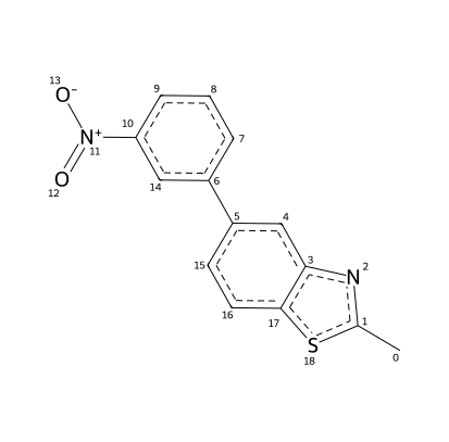 Cc1nc2cc(-c3cccc([N+](=O)[O-])c3)ccc2s1